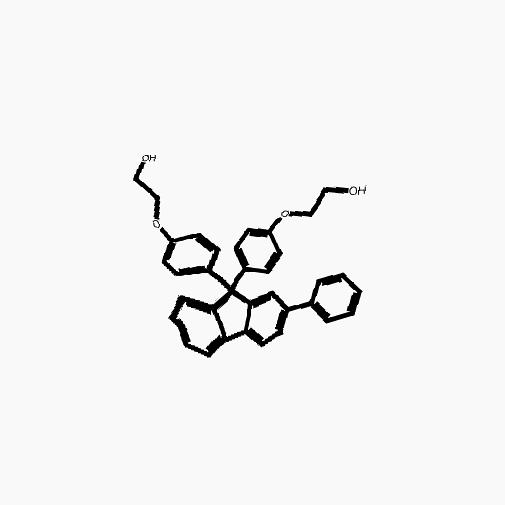 OCCOc1ccc(C2(c3ccc(OCCO)cc3)c3ccccc3-c3ccc(-c4ccccc4)cc32)cc1